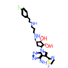 Nc1ncnc2c1c(-c1nccs1)cn2[C@@H]1C[C@H](CNCCCNCCc2ccc(F)cc2)[C@@H](O)[C@H]1O